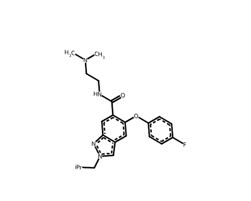 CC(C)Cn1cc2cc(Oc3ccc(F)cc3)c(C(=O)NCCN(C)C)cc2n1